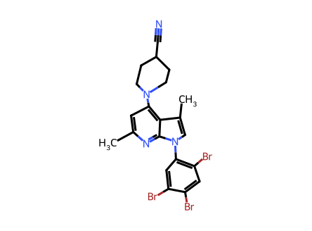 Cc1cc(N2CCC(C#N)CC2)c2c(C)cn(-c3cc(Br)c(Br)cc3Br)c2n1